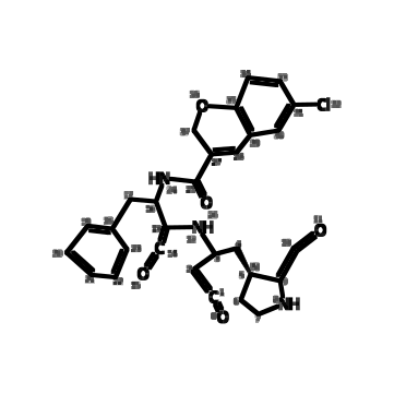 O=C=CC(C[C@@H]1CCNC1=C=O)NC(=C=O)C(Cc1ccccc1)NC(=O)C1=Cc2cc(Cl)ccc2OC1